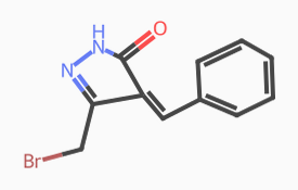 O=C1NN=C(CBr)C1=Cc1ccccc1